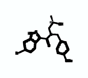 COc1ccc(CN(C[C@H](C)O)C(=O)c2n[nH]c3cc(Br)ccc23)cc1